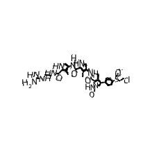 Cc1c(NC(=O)c2[nH]cc(NC(=O)c3c(C)c(-c4ccc([S+]([O-])CCCl)cc4)cn3NC=O)c2C)c[nH]c1C(=O)NCCNC(=N)N